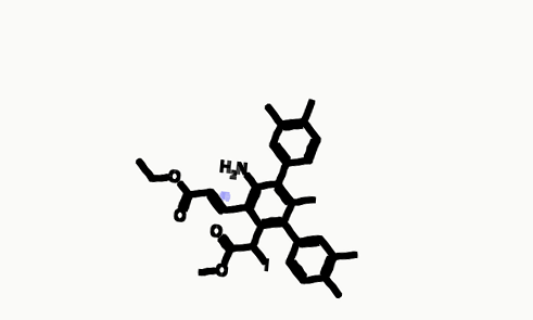 CCOC(=O)/C=C/c1c(N)c(-c2ccc(C)c(C)c2)c(C)c(-c2ccc(C)c(C)c2)c1C(I)C(=O)OC